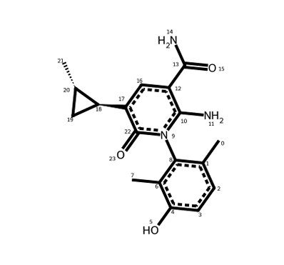 Cc1ccc(O)c(C)c1-n1c(N)c(C(N)=O)cc([C@H]2C[C@@H]2C)c1=O